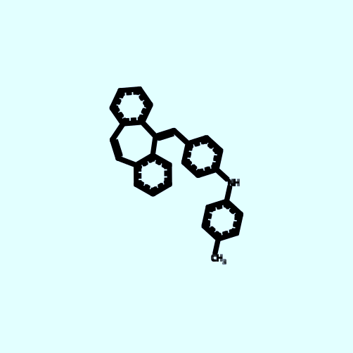 Cc1ccc(Nc2ccc(C=C3c4ccccc4C=Cc4ccccc43)cc2)cc1